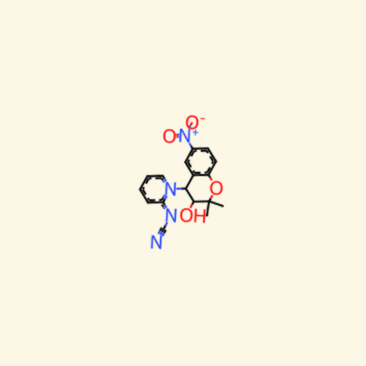 CC1(C)Oc2ccc([N+](=O)[O-])cc2C(n2ccccc2=NC#N)C1O